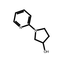 OC1CCN(c2ccccn2)C1